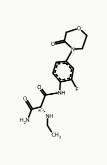 CCN[C@H](C(N)=O)C(=O)Nc1ccc(N2CCOCC2=O)cc1F